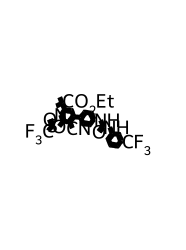 CCOC(=O)C(C)(C)c1cc(-c2ccc(NC(=O)Nc3cccc(C(F)(F)F)c3)cc2)c(C#N)c(OS(=O)C(F)(F)F)n1